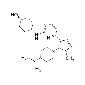 CN(C)C1CCN(c2c(-c3ccnc(N[C@H]4CC[C@H](O)CC4)n3)cnn2C)CC1